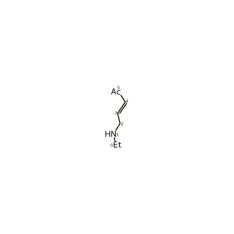 CCNCC=CC(C)=O